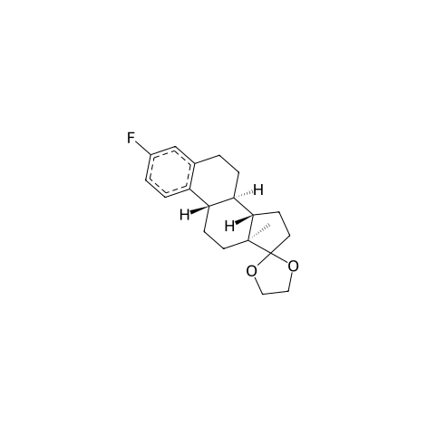 C[C@]12CC[C@@H]3c4ccc(F)cc4CC[C@H]3[C@@H]1CCC21OCCO1